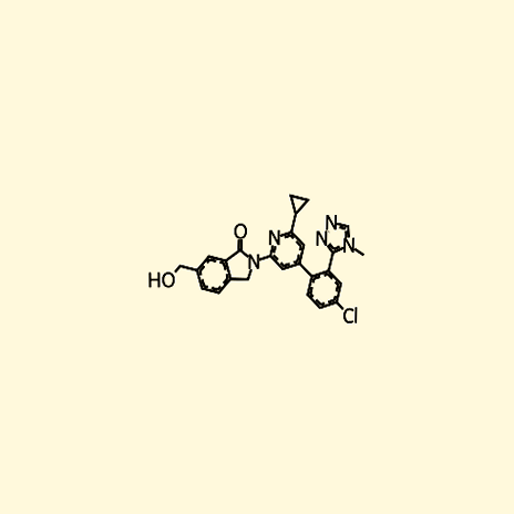 Cn1cnnc1-c1cc(Cl)ccc1-c1cc(C2CC2)nc(N2Cc3ccc(CO)cc3C2=O)c1